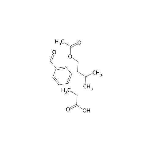 CC(=O)OCCC(C)C.CCC(=O)O.O=Cc1ccccc1